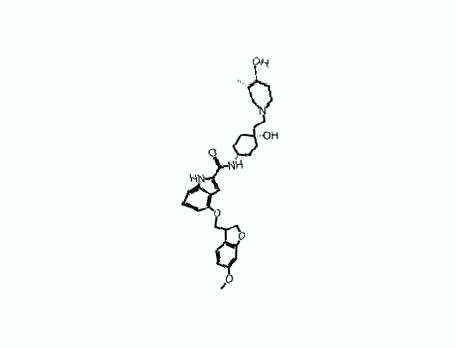 COc1ccc2c(c1)OCC2COc1cccc2[nH]c(C(=O)N[C@H]3CC[C@](O)(CCN4CC[C@H](O)[C@@H](C)C4)CC3)cc12